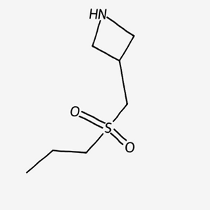 CCCS(=O)(=O)CC1CNC1